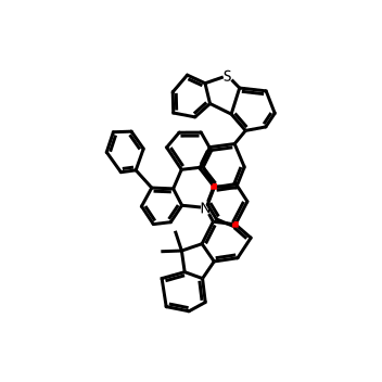 CC1(C)c2ccccc2-c2cccc(N(c3ccc(-c4cccc5sc6ccccc6c45)cc3)c3cccc(-c4ccccc4)c3-c3ccccc3-c3ccccc3)c21